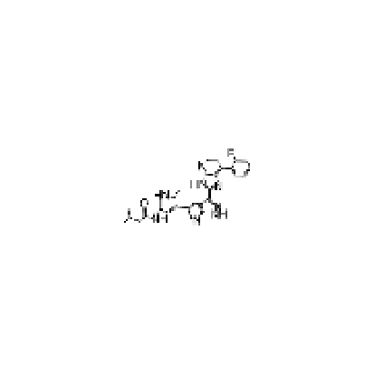 CC(C)CC(=O)NC1=CNC(C)C(c2cnc3[nH]nc(-c4nc5c(-c6ccccc6F)ccnc5[nH]4)c3c2)=C1